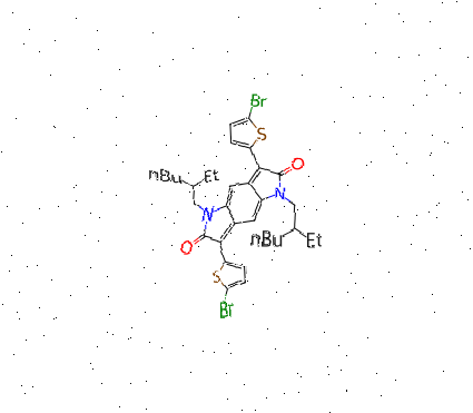 CCCCC(CC)CN1C(=O)C(c2ccc(Br)s2)=c2cc3c(cc21)=C(c1ccc(Br)s1)C(=O)N3CC(CC)CCCC